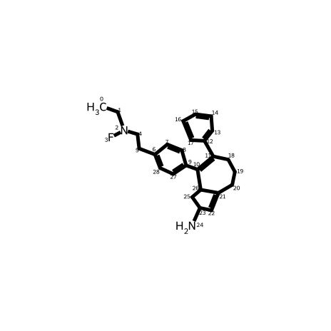 CCN(F)CCc1ccc(C2=C(c3ccccc3)CCCC3=CC(N)CC32)cc1